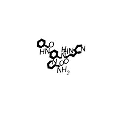 NC(=O)c1ccccn1.O=C(Nc1ccc(CNC(=O)c2cc3cnccc3[nH]2)cc1)c1ccccc1